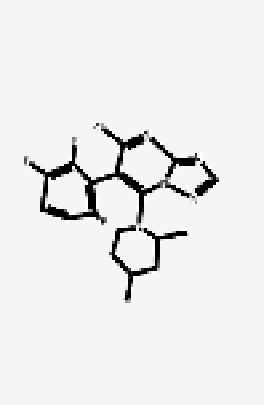 CC1CCN(c2c(-c3c(F)ccc(F)c3F)c(Cl)nc3ncnn23)C(C)C1